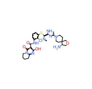 C=N/C(Sc1cccc(NC(=O)c2c(O)nc3n(c2=O)CCCC3)c1Cl)=C(N)\N=C(/C)N1CCC2(CC1)COC[C@H]2N